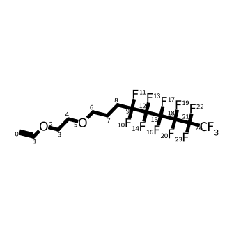 C=COCCOCCCC(F)(F)C(F)(F)C(F)(F)C(F)(F)C(F)(F)C(F)(F)F